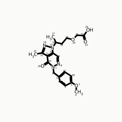 COc1ccc(Cn2ncc3c(c(C)nn3C(C)CCOCC(=O)O)c2=O)cc1